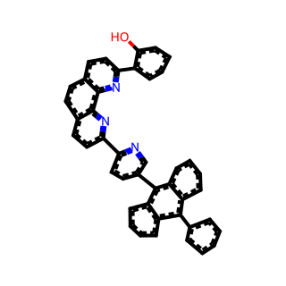 Oc1ccccc1-c1ccc2ccc3ccc(-c4ccc(-c5c6ccccc6c(-c6ccccc6)c6ccccc56)cn4)nc3c2n1